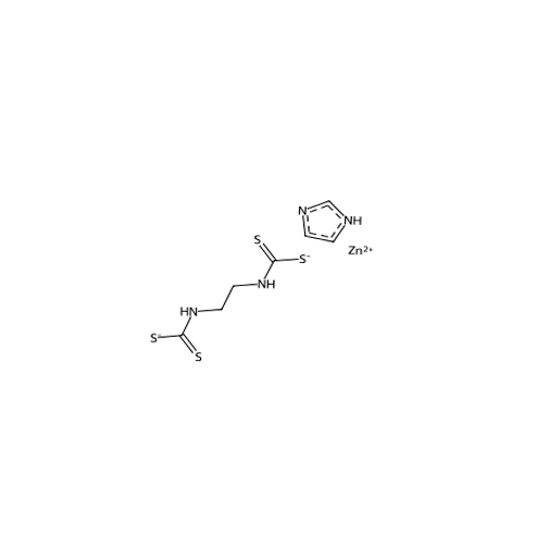 S=C([S-])NCCNC(=S)[S-].[Zn+2].c1c[nH]cn1